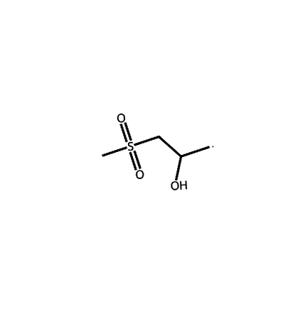 [CH2]C(O)CS(C)(=O)=O